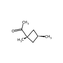 CC(=O)[C@]1(C)C[C@@H](C)C1